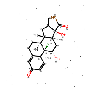 C[C@@H]1C[C@H]2[C@@H]3CCC4=CC(=O)C=C[C@]4(C)[C@@]3(F)[C@@H](O)C[C@]2(C)[C@@]1(O)C(=O)S